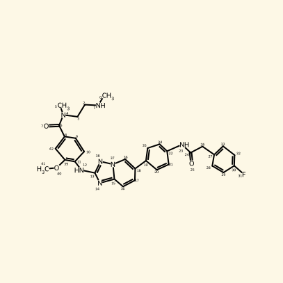 CNCCN(C)C(=O)c1ccc(Nc2nc3ccc(-c4ccc(NC(=O)Cc5ccc(F)cc5)cc4)cn3n2)c(OC)c1